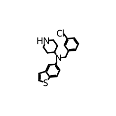 Clc1cccc(CN(c2ccc3sccc3c2)C2CCNCC2)c1